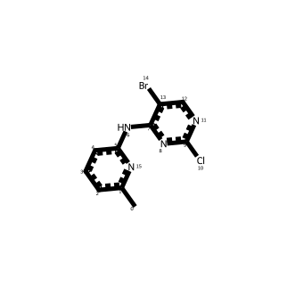 Cc1cccc(Nc2nc(Cl)ncc2Br)n1